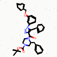 CC(C)(C)OC(=O)N1CCN(C(=O)c2nnn(-c3cccc(OCc4ccccc4)c3)c2-c2ccccc2)C(Cc2ccccc2)C1